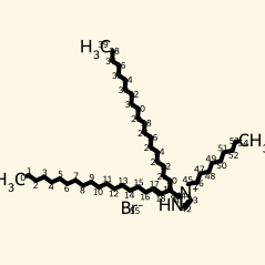 CCCCCCCCCCCCCCCCCC=CC(CCCCCCCCCCCCCCCCCCCC)c1[nH]cc[n+]1CCCCCCCCCC.[Br-]